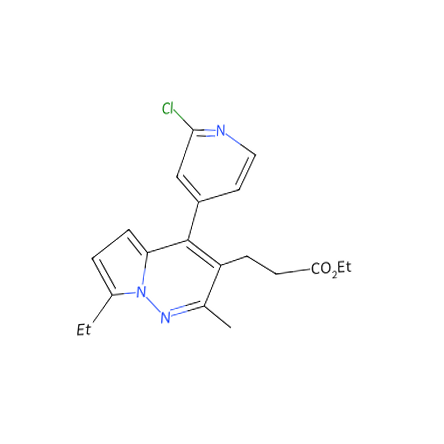 CCOC(=O)CCc1c(C)nn2c(CC)ccc2c1-c1ccnc(Cl)c1